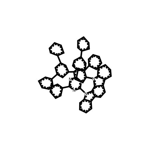 c1ccc(-c2ccc(-c3nc(-c4ccccc4)nc(-n4c5ccccc5c5ccc6c7ccccc7n(-c7ccc(-c8cc(-c9ccccc9)cc(-c9ccccc9)c8)cc7-c7ccccc7)c6c54)n3)cc2)cc1